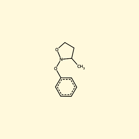 CC1CCON1Oc1ccccc1